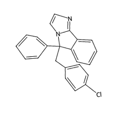 Clc1ccc(CC2(c3ccccc3)c3ccccc3-c3nccn32)cc1